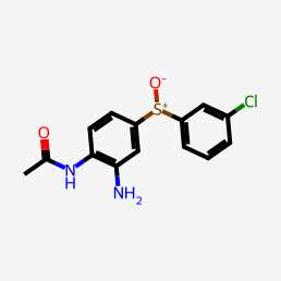 CC(=O)Nc1ccc([S+]([O-])c2cccc(Cl)c2)cc1N